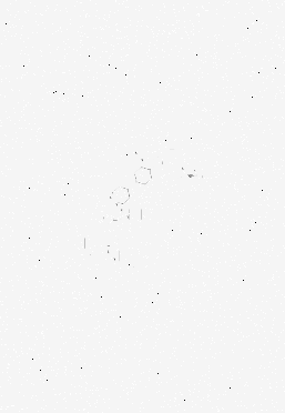 C=C(N)C1CC1C(=O)Nc1cc(-c2ccc(OC3CCN(C(C)=O)CC3F)c(C#N)c2)ccn1